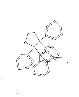 Cn1cc(C2(c3ccccc3)OCCC2(c2ccccc2)c2ccccc2)c2ccccc21